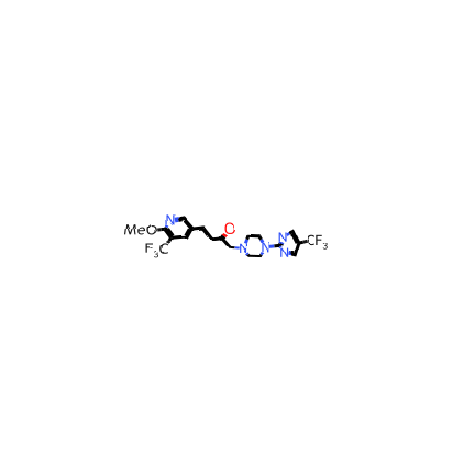 COc1ncc(CCC(=O)CN2CCN(c3ncc(C(F)(F)F)cn3)CC2)cc1C(F)(F)F